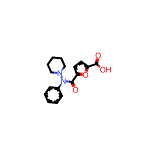 O=C(O)c1ccc(C(=O)N(c2ccccc2)N2CCCCC2)o1